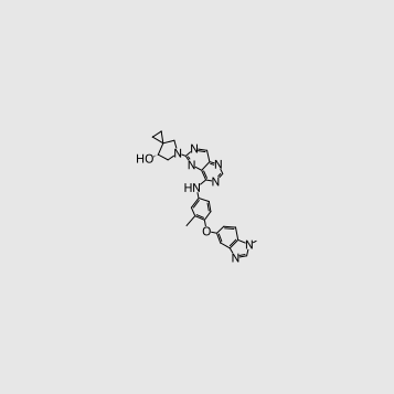 Cc1cc(Nc2ncnc3cnc(N4C[C@H](O)C5(CC5)C4)nc23)ccc1Oc1ccc2c(c1)ncn2C